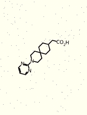 O=C(O)CC1CCC2(CC1)CCN(c1ncccn1)CC2